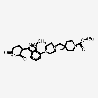 Cn1nc(C2CCC(=O)NC2=O)c2cccc(N3CCN(CC4(F)CCN(C(=O)OC(C)(C)C)CC4)CC3)c21